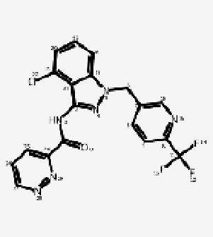 O=C(Nc1nn(Cc2ccc(C(F)(F)F)nc2)c2cccc(Cl)c12)c1cccnn1